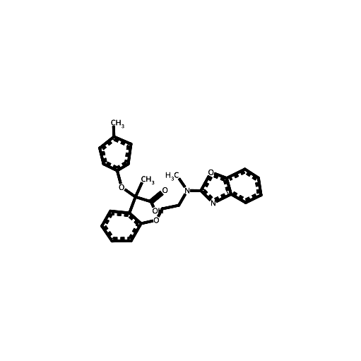 Cc1ccc(OC(C)(C(=O)O)c2ccccc2OCCN(C)c2nc3ccccc3o2)cc1